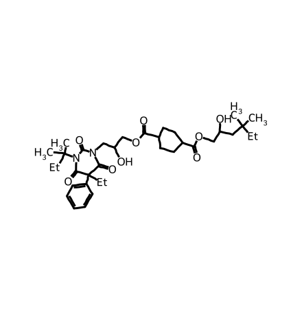 CCC(C)(C)CC(O)COC(=O)C1CCC(C(=O)OCC(O)CN2C(=O)N(C(C)(C)CC)C(=O)C(CC)(c3ccccc3)C2=O)CC1